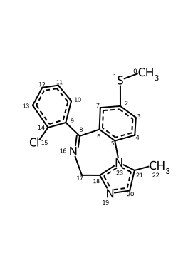 CSc1ccc2c(c1)C(c1ccccc1Cl)=NCc1ncc(C)n1-2